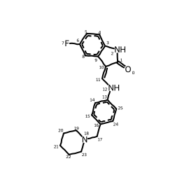 O=C1Nc2ccc(F)cc2C1=CNc1ccc(CN2CCCCC2)cc1